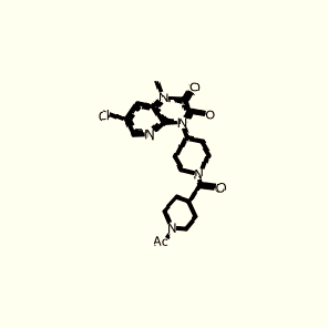 CC(=O)N1CCC(C(=O)N2CCC(n3c(=O)c(=O)n(C)c4cc(Cl)cnc43)CC2)CC1